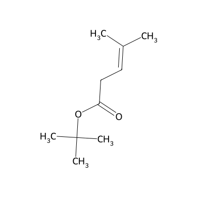 CC(C)=CCC(=O)OC(C)(C)C